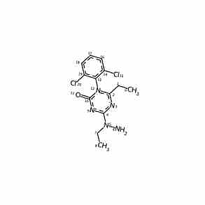 CCc1nc(N(N)CC)nc(=O)n1-c1c(Cl)cccc1Cl